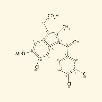 COc1cc2c(CC(=O)O)c(C)n(C(=O)c3ccc(Cl)c(Cl)c3)c2cc1Cl